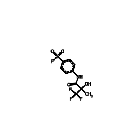 CC(O)(C(=O)Nc1ccc(S(=O)(=O)F)cc1)C(F)(F)F